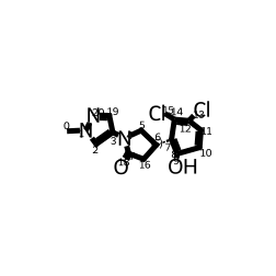 Cn1cc(N2C[C@H](c3c(O)ccc(Cl)c3Cl)CC2=O)cn1